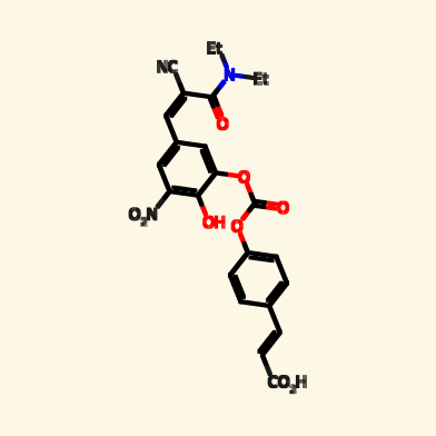 CCN(CC)C(=O)C(C#N)=Cc1cc(OC(=O)Oc2ccc(C=CC(=O)O)cc2)c(O)c([N+](=O)[O-])c1